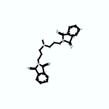 CN(CCCN1C(=O)c2ccccc2C1=O)CCCN1C(=O)c2ccccc2C1=O